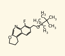 CC(C)(C)[Si](C)(C)OCc1ccc2c3c(cnc2c1F)OCCC3